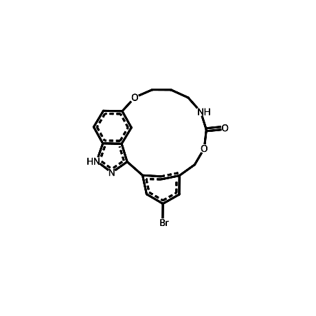 O=C1NCCCOc2ccc3[nH]nc(c3c2)-c2cc(Br)cc(c2)CO1